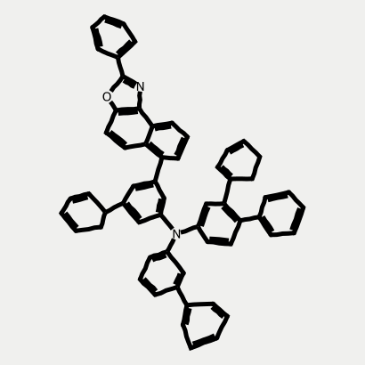 C1=CCCC(c2cc(N(c3cccc(-c4ccccc4)c3)c3cc(-c4cccc5c4ccc4oc(-c6ccccc6)nc45)cc(C4C=CC=CC4)c3)ccc2-c2ccccc2)=C1